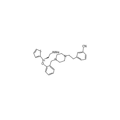 CNCC[C@@H](Oc1ccccc1CN1CCN(CCc2cccc(C#N)c2)CC1)c1cccs1